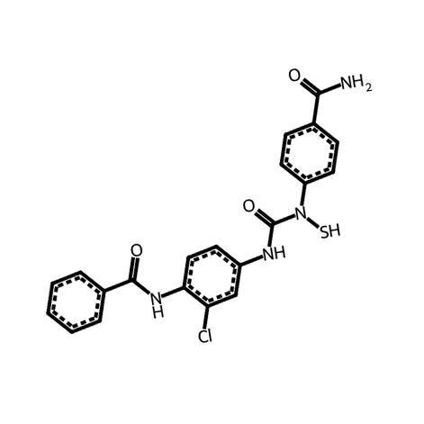 NC(=O)c1ccc(N(S)C(=O)Nc2ccc(NC(=O)c3ccccc3)c(Cl)c2)cc1